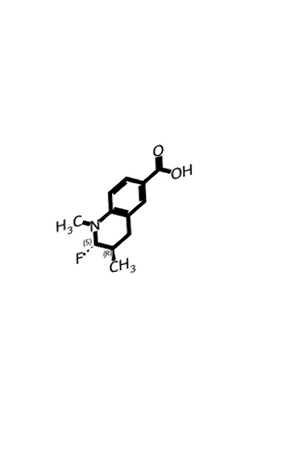 C[C@@H]1Cc2cc(C(=O)O)ccc2N(C)[C@H]1F